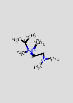 CC(C)[N+](C)(C)CCN(C)C